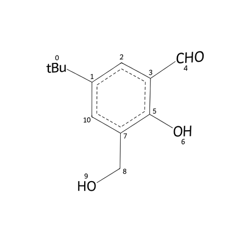 CC(C)(C)c1cc(C=O)c(O)c(CO)c1